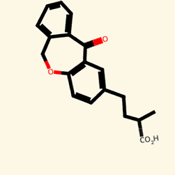 CC(CCc1ccc2c(c1)C(=O)c1ccccc1CO2)C(=O)O